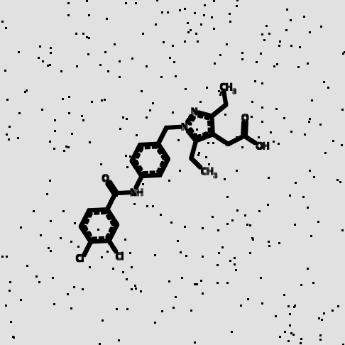 CCc1nn(Cc2ccc(NC(=O)c3ccc(Cl)c(Cl)c3)cc2)c(CC)c1CC(=O)O